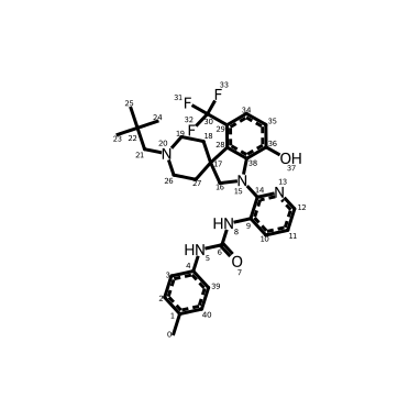 Cc1ccc(NC(=O)Nc2cccnc2N2CC3(CCN(CC(C)(C)C)CC3)c3c(C(F)(F)F)ccc(O)c32)cc1